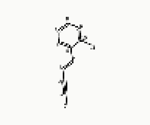 CC#CC=Cc1ccccc1C